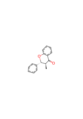 C[C@@H]1C(=O)c2ccccc2O[C@H]1c1ccccc1